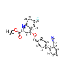 COC(=O)c1cc(OCc2ccc(-c3ccccc3C#N)cc2)c2cc(F)ccc2n1